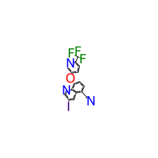 N#Cc1ccc(Oc2ccc(C(F)(F)F)nc2)c2ncc(I)cc12